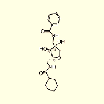 O=C(NC[C@]1(O)CO[C@H](CNC(=O)C2CCCCC2)[C@H]1O)c1ccccc1